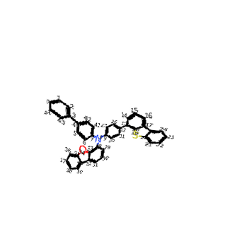 c1ccc(-c2ccc(N(c3ccc(-c4cccc5c4sc4ccccc45)cc3)c3cccc4c3oc3ccccc34)cc2)cc1